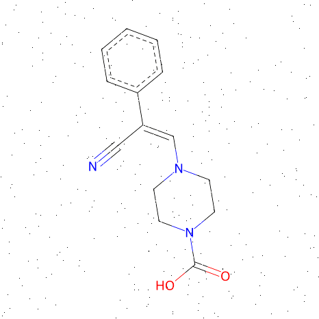 N#C/C(=C\N1CCN(C(=O)O)CC1)c1ccccc1